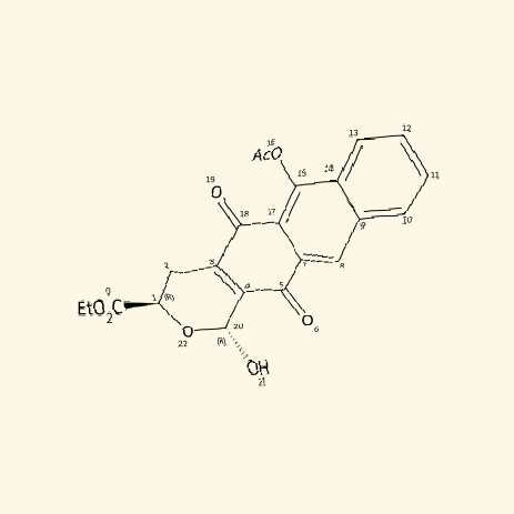 CCOC(=O)[C@H]1CC2=C(C(=O)c3cc4ccccc4c(OC(C)=O)c3C2=O)[C@H](O)O1